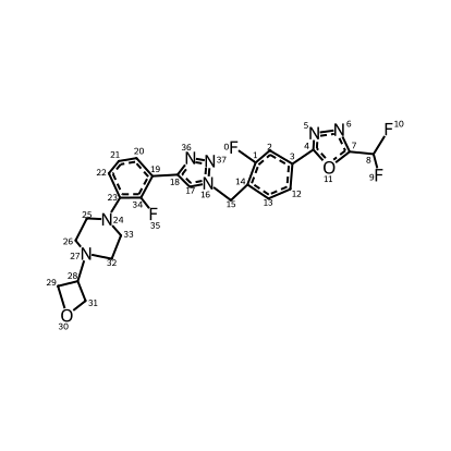 Fc1cc(-c2nnc(C(F)F)o2)ccc1Cn1cc(-c2cccc(N3CCN(C4COC4)CC3)c2F)nn1